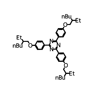 CCCCC(CC)COc1ccc(-c2nc(-c3ccc(OCC(CC)CCCC)cc3)nc(-c3ccc(OCC(CC)CCCC)cc3)n2)cc1